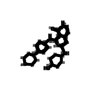 O=c1[nH]ccc2cc(NC3CCC(O)CC3)nc(Nc3ccc(N4CCOCC4)cc3)c12